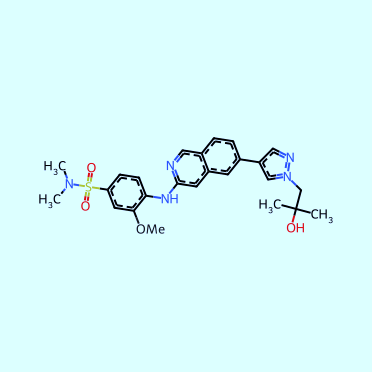 COc1cc(S(=O)(=O)N(C)C)ccc1Nc1cc2cc(-c3cnn(CC(C)(C)O)c3)ccc2cn1